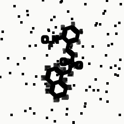 O=[N+]([O-])c1ccccc1C=CS(=O)(=O)Cc1cccc2ccccc12